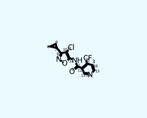 O=C(Nc1onc(C2CC2)c1Cl)c1cnccc1C(F)(F)F